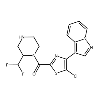 O=C(c1nc(-c2cnn3ccccc23)c(Cl)s1)N1CCNCC1C(F)F